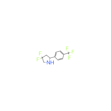 FC1(F)CNC(c2ccc(C(F)(F)F)cc2)C1